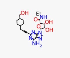 CCNC(=O)[C@H]1O[C@@H](n2cnc3c(N)nc(C#CCC4CCC(CO)CC4)nc32)[C@@H](O)C1O